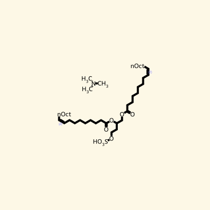 CCCCCCCC/C=C\CCCCCCCC(=O)OCC(CCOS(=O)(=O)O)OC(=O)CCCCCCC/C=C\CCCCCCCC.CN(C)C